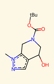 Cn1ncc2c1CN(C(=O)OC(C)(C)C)CC2O